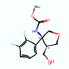 CC(C)(C)OC(=O)N[C@@]1(c2cccc(F)c2F)COC[C@H]1CO